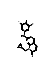 O=c1ccc2cnc(Nc3cc(F)c(F)c(F)c3)nc2n1CC1CC1